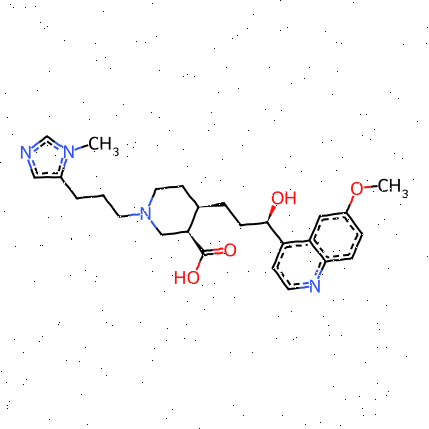 COc1ccc2nccc([C@H](O)CC[C@@H]3CCN(CCCc4cncn4C)C[C@@H]3C(=O)O)c2c1